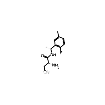 Cc1ccc(F)c([C@@H](C)NC(=O)[C@H](N)CO)c1